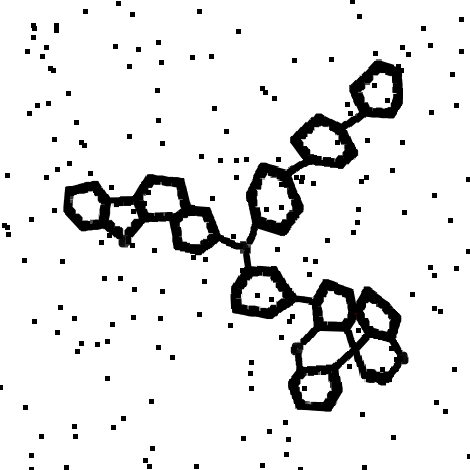 c1ccc(-c2ccc(-c3ccc(N(c4cccc(-c5cccc6c5Oc5ccccc5C65c6ccccc6Oc6ccccc65)c4)c4ccc5c(ccc6c7ccccc7oc56)c4)cc3)cc2)cc1